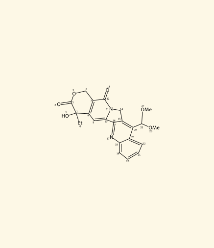 CCC1(O)C(=O)OCc2c1cc1n(c2=O)Cc2c-1nc1ccccc1c2C(OC)OC